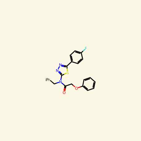 CC(C)CN(C(=O)COc1ccccc1)c1nnc(-c2ccc(F)cc2)s1